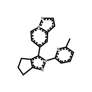 Cc1cccc(-n2nc3c(c2-c2ccn4nccc4c2)CCC3)n1